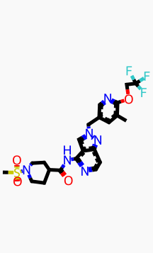 Cc1cc(Cn2cc3c(NC(=O)C4CCN(S(C)(=O)=O)CC4)nccc3n2)cnc1OCC(F)(F)F